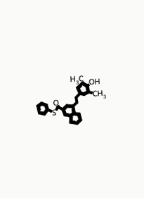 Cc1cc(CCc2cc(C(=O)Sc3ccccc3)cc3ccccc23)cc(C)c1O